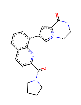 O=C1NCCn2cc(-c3cccc4ccc(C(=O)N5CCCC5)nc34)cc21